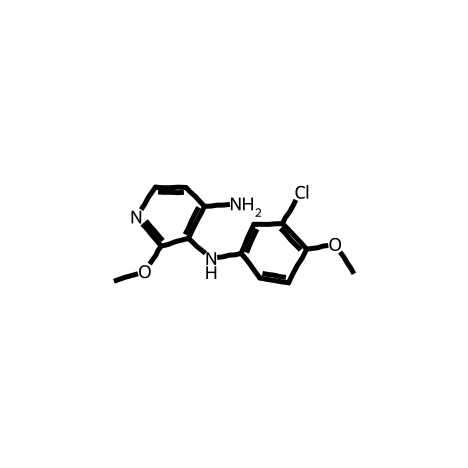 COc1ccc(Nc2c(N)ccnc2OC)cc1Cl